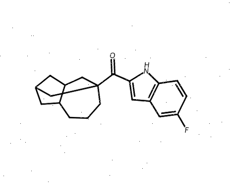 O=C(c1cc2cc(F)ccc2[nH]1)C12CCCC3CC(CC3C1)C2